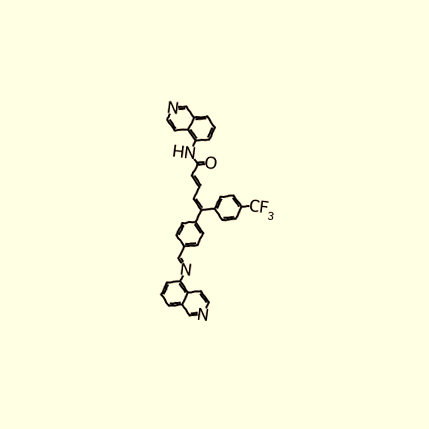 O=C(/C=C/C=C(/c1ccc(/C=N/c2cccc3cnccc23)cc1)c1ccc(C(F)(F)F)cc1)Nc1cccc2cnccc12